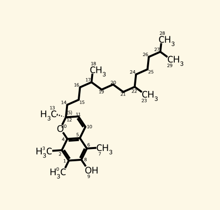 Cc1c(C)c2c(c(C)c1O)C=C[C@](C)(CCCC(C)CCCC(C)CCCC(C)C)O2